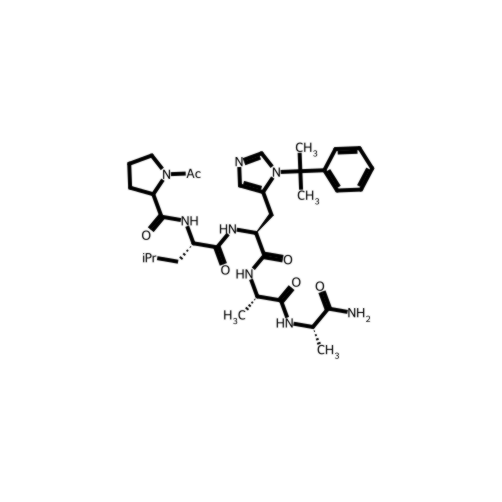 CC(=O)N1CCCC1C(=O)N[C@@H](CC(C)C)C(=O)N[C@@H](Cc1cncn1C(C)(C)c1ccccc1)C(=O)N[C@@H](C)C(=O)N[C@@H](C)C(N)=O